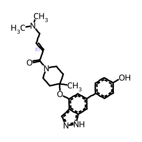 CN(C)C/C=C/C(=O)N1CCC(C)(Oc2cc(-c3ccc(O)cc3)cc3[nH]ncc23)CC1